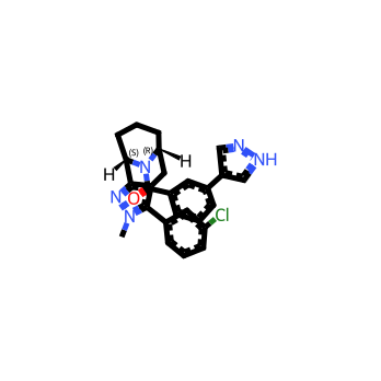 Cn1nc2c(c1-c1cccc(Cl)c1)C[C@H]1CCC[C@@H]2N1C(=O)c1cccc(-c2cn[nH]c2)c1